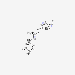 C/C=C(\C=N/CCC/C(N)=C/Nc1ccc(F)c(C)c1)CC